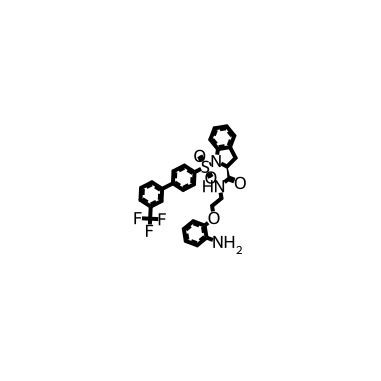 Nc1ccccc1OCCNC(=O)[C@@H]1Cc2ccccc2N1S(=O)(=O)c1ccc(-c2cccc(C(F)(F)F)c2)cc1